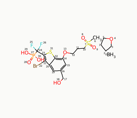 B.C1CCOC1.CS(=O)(=O)CCCOc1cc(CO)cc2c(Br)c(C(F)(F)P(=O)(O)O)sc12